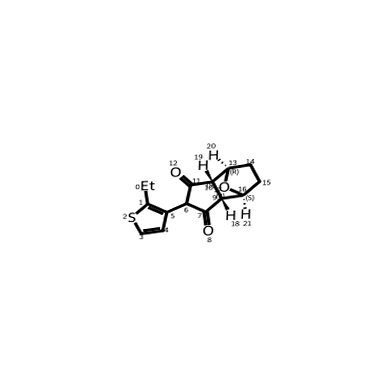 CCc1sccc1C1C(=O)[C@@H]2[C@H](C1=O)[C@H]1CC[C@@H]2O1